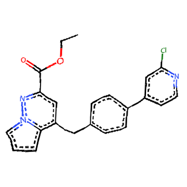 CCOC(=O)c1cc(Cc2ccc(-c3ccnc(Cl)c3)cc2)c2cccn2n1